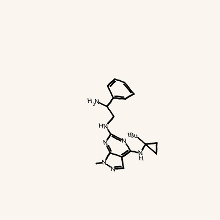 Cn1ncc2c(NC3(C(C)(C)C)CC3)nc(NCC(N)c3ccccc3)nc21